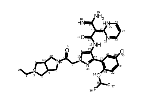 CCN1CC2CN(C(=O)Cn3cc(NC(=O)/C(C(=N)N)=C4\N=CC=CN4)c(-c4cc(Cl)ccc4OC(F)F)n3)CC2C1